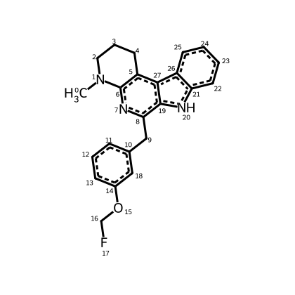 CN1CCCc2c1nc(Cc1cccc(OCF)c1)c1[nH]c3ccccc3c21